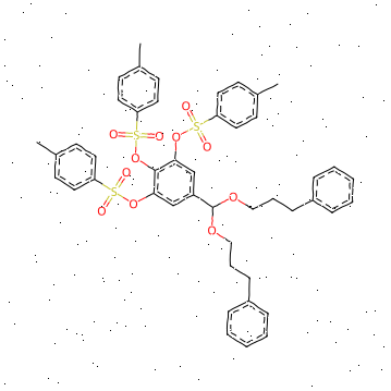 Cc1ccc(S(=O)(=O)Oc2cc(C(OCCCc3ccccc3)OCCCc3ccccc3)cc(OS(=O)(=O)c3ccc(C)cc3)c2OS(=O)(=O)c2ccc(C)cc2)cc1